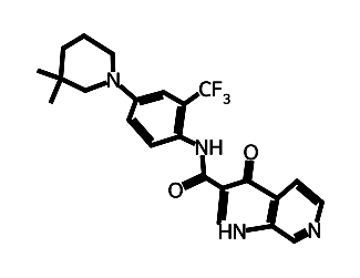 CC1(C)CCCN(c2ccc(NC(=O)c3c[nH]c4cnccc4c3=O)c(C(F)(F)F)c2)C1